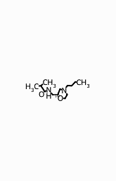 CCCCN1CCO[C@@H](CNC(=O)C(C)C)C1